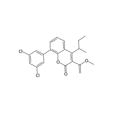 C=C(OC)c1c(C(C)CC)c2cccc(-c3cc(Cl)cc(Cl)c3)c2oc1=O